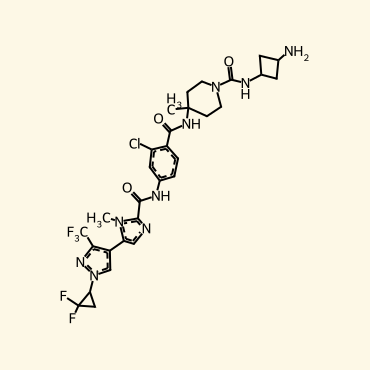 Cn1c(-c2cn(C3CC3(F)F)nc2C(F)(F)F)cnc1C(=O)Nc1ccc(C(=O)NC2(C)CCN(C(=O)NC3CC(N)C3)CC2)c(Cl)c1